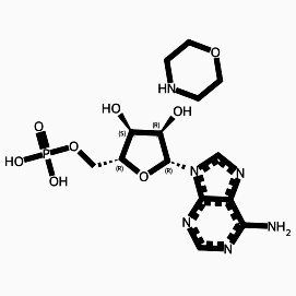 C1COCCN1.Nc1ncnc2c1ncn2[C@@H]1O[C@H](COP(=O)(O)O)[C@@H](O)[C@H]1O